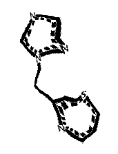 [c]1csc(Cn2cncn2)n1